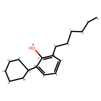 CCCCCCc1cccc(C2CCCCC2)c1O